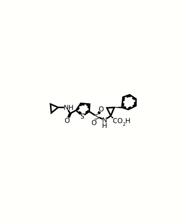 O=C(NC1CC1)c1ccc(S(=O)(=O)N[C@]2(C(=O)O)C[C@H]2c2ccccc2)s1